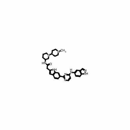 CN1CCC(N2CCCC(NC(=O)Cc3cc4ccc(-c5nccc(Nc6ccc7[nH]ncc7c6)n5)cc4[nH]3)C2)CC1